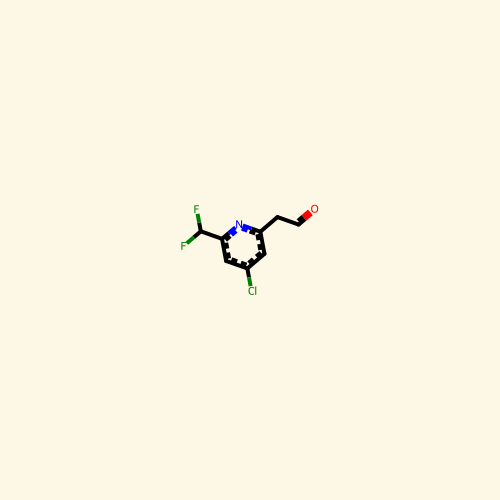 O=CCc1cc(Cl)cc(C(F)F)n1